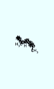 CC#CC(=O)N1CCN2C[C@H]1COc1cc3ncnc(Nc4ccc(Oc5ccn6ncnc6c5)c(C)c4)c3cc12